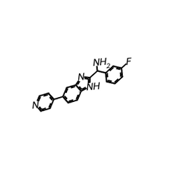 NC(c1cccc(F)c1)c1nc2cc(-c3ccncc3)ccc2[nH]1